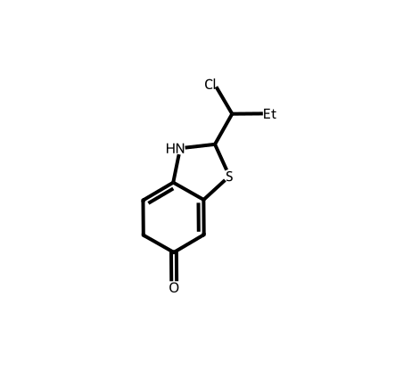 CCC(Cl)C1NC2=CCC(=O)C=C2S1